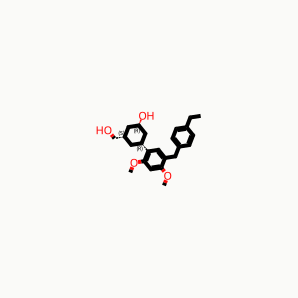 CCc1ccc(Cc2cc([C@H]3C[C@@H](O)C[C@@H](CO)C3)c(OC)cc2OC)cc1